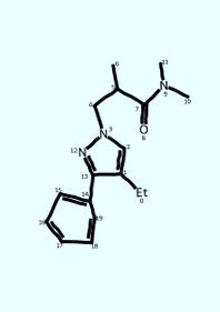 CCc1cn(CC(C)C(=O)N(C)C)nc1-c1ccccc1